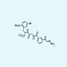 COc1ccc(Br)cc1CC(NC(=O)CNC(=O)c1cccc(NC=NN)c1)C(=O)O